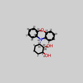 OC1CCC[C@H](N2c3ccccc3Oc3ccccc32)[C@H]1O